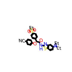 CCN(CC)c1ccc2sc(NC(=O)C(Oc3ccc(C#N)cc3)c3ccc(S(=O)(=O)CC)cc3)nc2c1